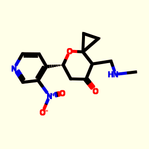 CNCC1C(=O)C[C@H](c2ccncc2[N+](=O)[O-])OC12CC2